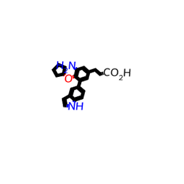 Nc1cc(CCC(=O)O)cc(-c2ccc3[nH]ccc3c2)c1OC1CCCC1